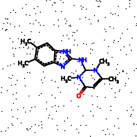 CC1=[C]C(=O)N(C)C(Nc2nc3cc(C)c(C)cc3[nH]2)N1C